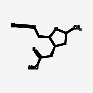 COC(=S)C[C@@H]1CC(C)O[C@@H]1CN=[N+]=[N-]